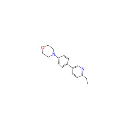 CCc1ccc(-c2ccc(N3CCOCC3)cc2)cn1